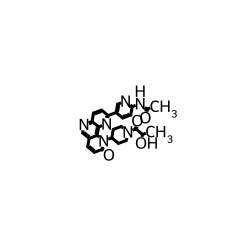 CC(=O)Nc1ccc(-c2ccc3ncc4ccc(=O)n(C5CCN(C(=O)C(C)O)CC5)c4c3n2)cn1